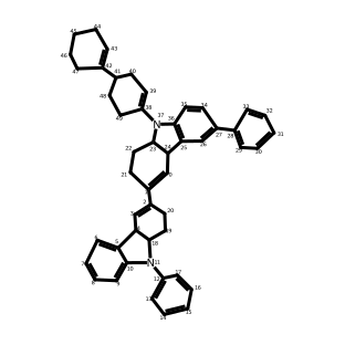 C1=C(C2=CC3c4ccccc4N(c4ccccc4)C3CC2)CCC2C1c1cc(-c3ccccc3)ccc1N2C1=CCC(C2=CCCCC2)CC1